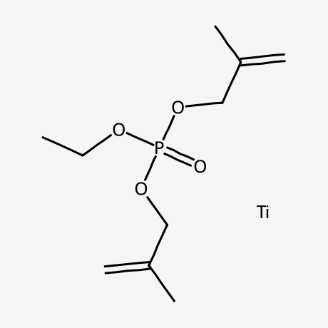 C=C(C)COP(=O)(OCC)OCC(=C)C.[Ti]